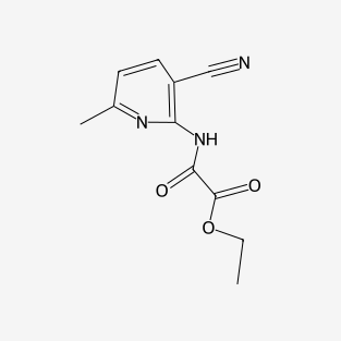 CCOC(=O)C(=O)Nc1nc(C)ccc1C#N